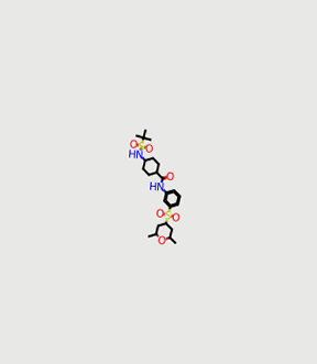 CC1CC(S(=O)(=O)c2cccc(NC(=O)C3CCC(NS(=O)(=O)C(C)(C)C)CC3)c2)CC(C)O1